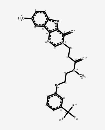 Cc1ccc2[nH]c3c(=O)n(CCC(=O)N(C)CCNc4cccc(C(F)(F)F)c4)cnc3c2c1